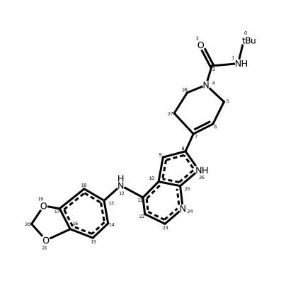 CC(C)(C)NC(=O)N1CC=C(c2cc3c(Nc4ccc5c(c4)OCO5)ccnc3[nH]2)CC1